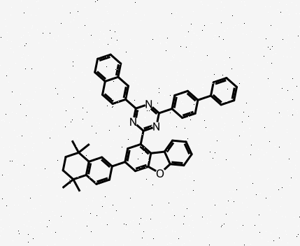 CC1(C)CCC(C)(C)c2cc(-c3cc(-c4nc(-c5ccc(-c6ccccc6)cc5)nc(-c5ccc6ccccc6c5)n4)c4c(c3)oc3ccccc34)ccc21